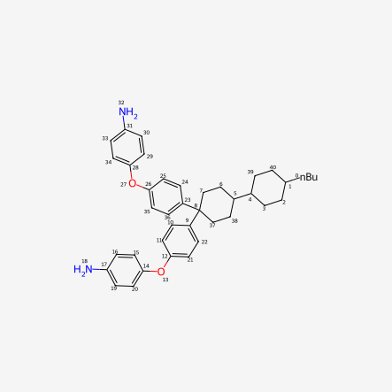 CCCCC1CCC(C2CCC(c3ccc(Oc4ccc(N)cc4)cc3)(c3ccc(Oc4ccc(N)cc4)cc3)CC2)CC1